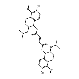 CNc1c(O)ccc2c1CCC(NC(C)C)C2OC(=O)/C=C/C(=O)OC1c2ccc(O)c(NC)c2CCC1NC(C)C